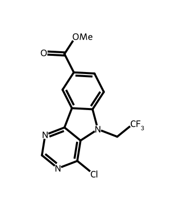 COC(=O)c1ccc2c(c1)c1ncnc(Cl)c1n2CC(F)(F)F